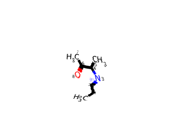 CC/C=N/C(C)C(C)=O